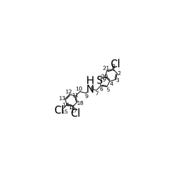 Clc1ccc2cc(CNCCc3ccc(Cl)c(Cl)c3)sc2c1